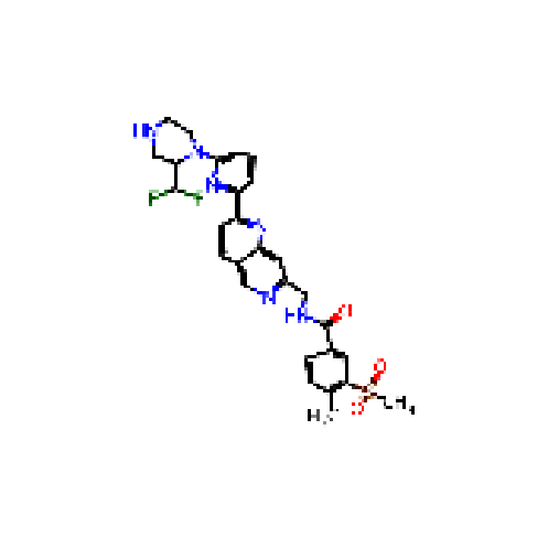 Cc1ccc(C(=O)NCc2cc3nc(-c4cccc(N5CCNCC5C(F)F)n4)ccc3cn2)cc1S(C)(=O)=O